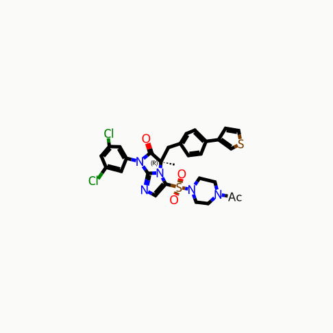 CC(=O)N1CCN(S(=O)(=O)c2cnc3n2[C@](C)(Cc2ccc(-c4ccsc4)cc2)C(=O)N3c2cc(Cl)cc(Cl)c2)CC1